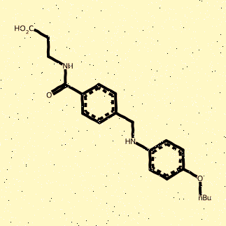 CCCCOc1ccc(NCc2ccc(C(=O)NCCC(=O)O)cc2)cc1